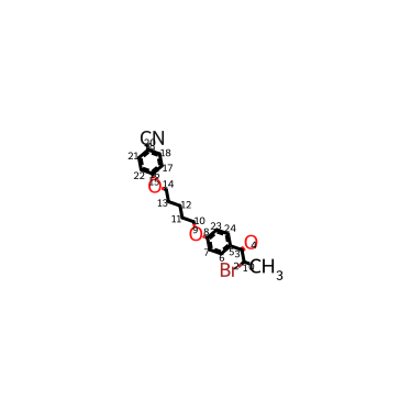 CC(Br)C(=O)c1ccc(OCCCCCOc2ccc(C#N)cc2)cc1